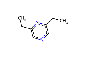 CCc1cncc(CC)n1